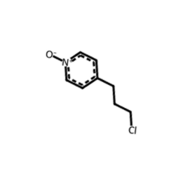 [O-][n+]1ccc(CCCCl)cc1